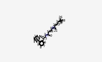 C/C(=C\CSc1ccccc1C1=NCCN1C)CC/C=C(\C)CCCC(C)(C)C